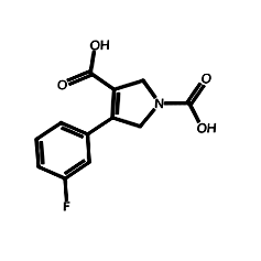 O=C(O)C1=C(c2cccc(F)c2)CN(C(=O)O)C1